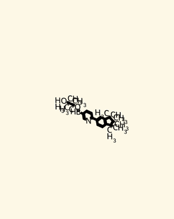 CC(C)(O)C(C)(C)OBc1ccc(-c2ccc3c(c2)C(C)(C)C(C)(C)C3(C)C)nc1